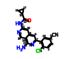 N#Cc1ccc(Cl)c(-c2cc3cc(NC(=O)C4CC4)ncc3c(N)n2)c1